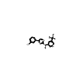 FC(F)(F)c1cncc(Nc2nc(-c3cccc(Cl)c3)cs2)c1